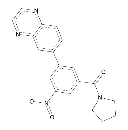 O=C(c1cc(-c2ccc3nccnc3c2)cc([N+](=O)[O-])c1)N1CCCC1